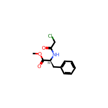 COC(=O)[C@H](Cc1ccccc1)NC(=O)CCl